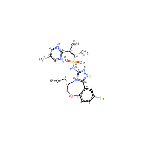 COC[C@H]1COc2ccc(F)cc2-c2nnc(NS(=O)(=O)[C@@H](C)[C@H](OC)c3ncc(C)cn3)n21